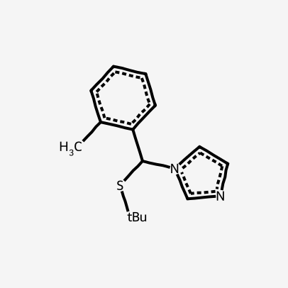 Cc1ccccc1C(SC(C)(C)C)n1ccnc1